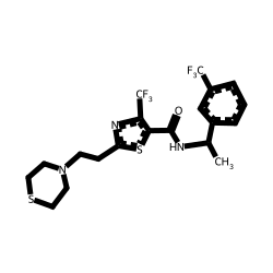 CC(NC(=O)c1sc(CCN2CCSCC2)nc1C(F)(F)F)c1cccc(C(F)(F)F)c1